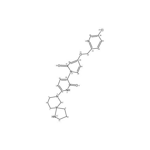 O=c1[nH]c(N2CCCC3(CCCN3)C2)ccc1-n1ccc(OCc2ccc(Cl)cn2)cc1=O